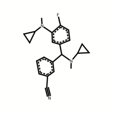 CN(c1cc(C(c2cccc(C#N)c2)N(C)C2CC2)ccc1F)C1CC1